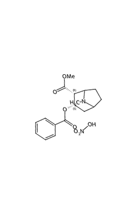 COC(=O)[C@@H]1C2CCC(C[C@@H]1OC(=O)c1ccccc1)N2C.O=[N+]([O-])O